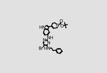 CC(C)(C)OC(=O)N1CC=C(c2c[nH]c3ccc(Nc4ncc(Br)c(NCCc5ccccc5)n4)cc23)CC1